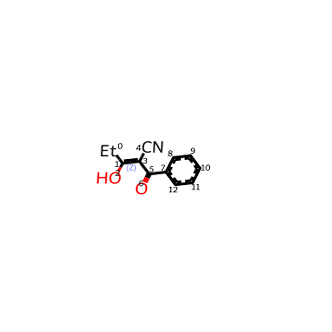 CC/C(O)=C(\C#N)C(=O)c1ccccc1